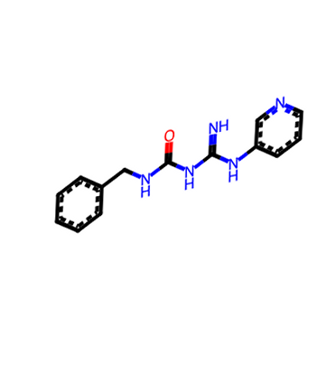 N=C(NC(=O)NCc1ccccc1)Nc1cccnc1